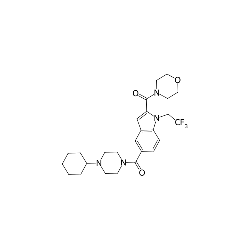 O=C(c1ccc2c(c1)cc(C(=O)N1CCOCC1)n2CC(F)(F)F)N1CCN(C2CCCCC2)CC1